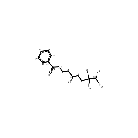 O=C(SCCC(F)CCC(F)(F)C(F)F)c1ccccc1